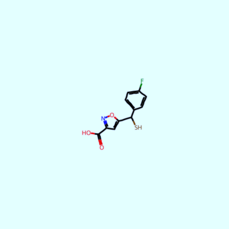 O=C(O)c1cc(C(S)c2ccc(F)cc2)on1